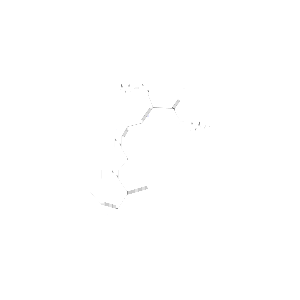 C=C(/C=C\C)NC/N=C\C=C(/NC)C(=O)OC